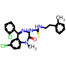 Cc1ccccc1CCNC(=S)NC1N=C(c2ccccc2Cl)c2cc(Cl)ccc2N(C)C1=O